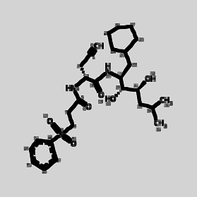 C#CC[C@@H](NC(=O)CCS(=O)(=O)c1ccccc1)C(=O)N[C@@H](CC1CCCCC1)[C@@H](O)[C@@H](O)CC(C)C